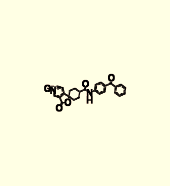 O=C(c1ccccc1)c1ccc(NC(=O)C2CCC3(CC2)OC(=O)c2c[n+]([O-])ccc23)cc1